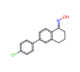 ON=C1CCCc2cc(-c3ccc(Cl)cc3)ccc21